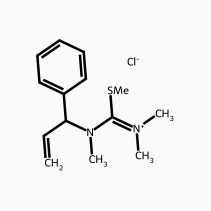 C=CC(c1ccccc1)N(C)C(SC)=[N+](C)C.[Cl-]